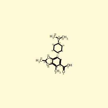 Cc1c(C(=O)O)cc([C@H]2CC[C@H](N(C)C)CC2)c2c1OC(C)O2